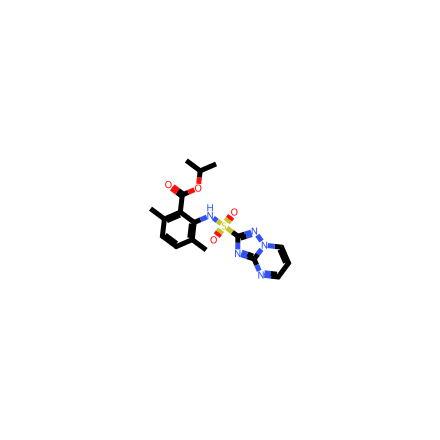 Cc1ccc(C)c(C(=O)OC(C)C)c1NS(=O)(=O)c1nc2ncccn2n1